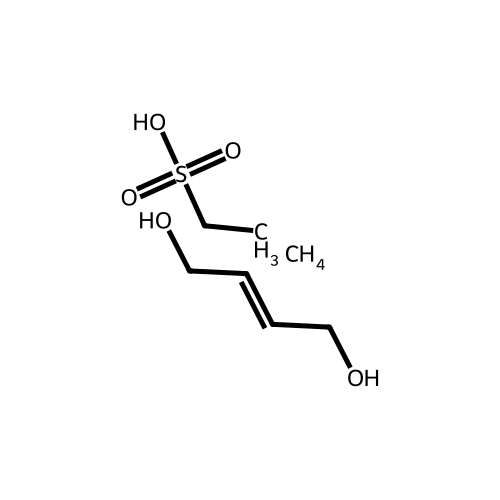 C.CCS(=O)(=O)O.OCC=CCO